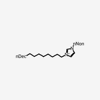 CCCCCCCCCCCCCCCCCC[n+]1ccn(CCCCCCCCC)c1